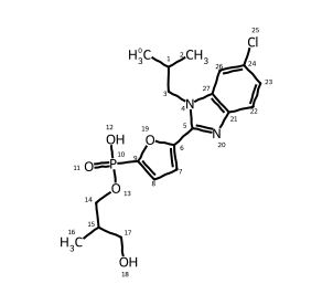 CC(C)Cn1c(-c2ccc(P(=O)(O)OCC(C)CO)o2)nc2ccc(Cl)cc21